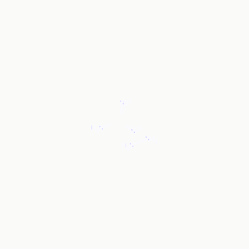 NN.Nc1ncccn1